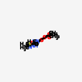 Cc1nc(NC(=O)c2cccc(NCCOCCOCCC(=O)OC(C)(C)C)c2C)sc1C